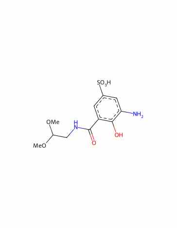 COC(CNC(=O)c1cc(S(=O)(=O)O)cc(N)c1O)OC